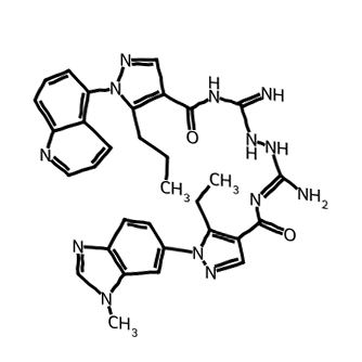 CCCc1c(C(=O)NC(=N)NNC(N)=NC(=O)c2cnn(-c3ccc4ncn(C)c4c3)c2CC)cnn1-c1cccc2ncccc12